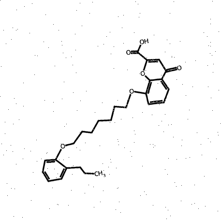 CCCc1ccccc1OCCCCCCCOc1cccc2c(=O)cc(C(=O)O)oc12